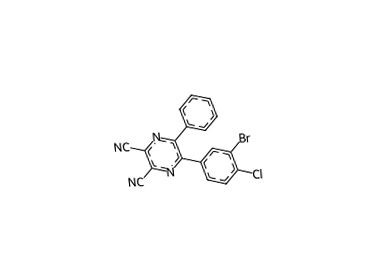 N#Cc1nc(-c2ccccc2)c(-c2ccc(Cl)c(Br)c2)nc1C#N